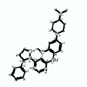 COc1cc(N2CCC(N(C)C)CC2)ccc1Nc1cc(N2OCC[C@@H]2c2ccccc2)ncn1